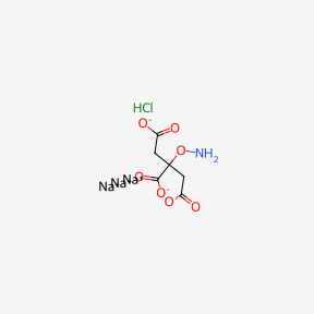 Cl.NOC(CC(=O)[O-])(CC(=O)[O-])C(=O)[O-].[Na+].[Na+].[Na+]